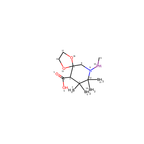 BC1(B)C(C(=O)O)C2(CN(PC)C1(B)B)OCCO2